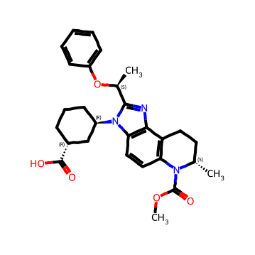 COC(=O)N1c2ccc3c(nc([C@H](C)Oc4ccccc4)n3[C@@H]3CCC[C@@H](C(=O)O)C3)c2CC[C@@H]1C